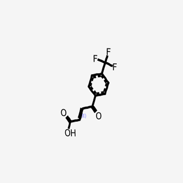 O=C(O)/C=C/C(=O)c1ccc(C(F)(F)F)cc1